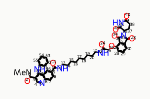 CNC(=O)c1cnc2ccc(C(=O)NCCCCCCCCCNC(=O)COc3cccc4c3C(=O)N(C3CCC(=O)NC3=O)C4=O)cc2c1Nc1ccccc1